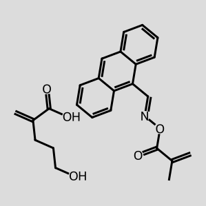 C=C(C)C(=O)ON=Cc1c2ccccc2cc2ccccc12.C=C(CCCO)C(=O)O